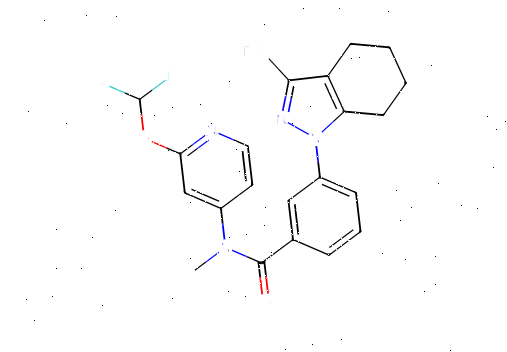 CN(C(=O)c1cccc(-n2nc(C(F)(F)F)c3c2CCCC3)c1)c1ccnc(OC(F)F)c1